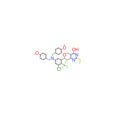 COc1ccc(CN(Cc2ccc(OC)cc2)c2cc(Cl)c(C(F)(F)F)c(C3Cc4nc(SC)nc(O)c4CO3)c2)cc1